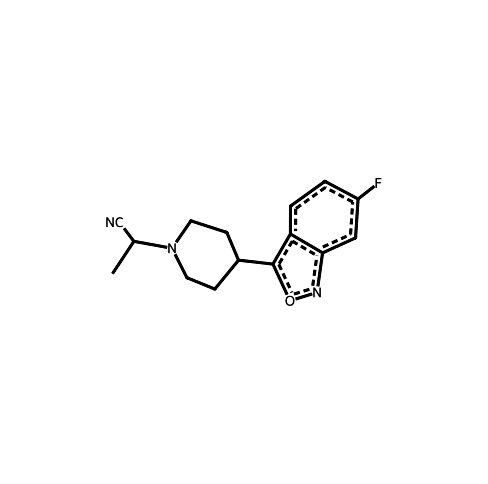 CC(C#N)N1CCC(c2onc3cc(F)ccc23)CC1